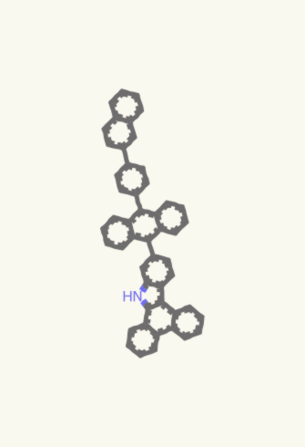 c1ccc2cc(-c3ccc(-c4c5ccccc5c(-c5ccc6c(c5)[nH]c5c7ccccc7c7ccccc7c65)c5ccccc45)cc3)ccc2c1